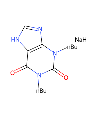 CCCCn1c(=O)c2[nH]cnc2n(CCCC)c1=O.[NaH]